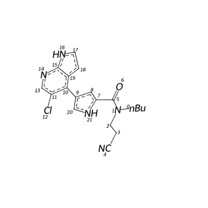 CCCCN(CCC#N)C(=O)c1cc(-c2c(Cl)cnc3[nH]ccc23)c[nH]1